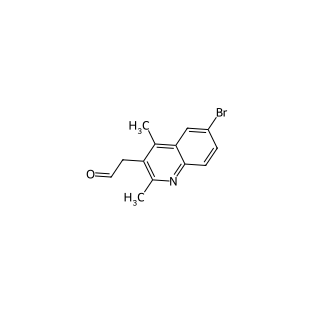 Cc1nc2ccc(Br)cc2c(C)c1CC=O